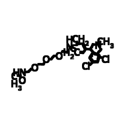 C=C/C(=C\C(=C)SNCCOCCOCCOCCNC(C)=O)C1CN(C)Cc2c(Cl)cc(Cl)cc21